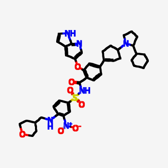 O=C(NS(=O)(=O)c1ccc(NCC2CCOCC2)c([N+](=O)[O-])c1)c1ccc(C2=CCC(N3CCCC3C3CCCCC3)CC2)cc1Oc1cnc2[nH]ccc2c1